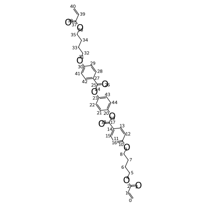 C=CC(=O)OCCCCOC(=C)/C=C\C(=C/C)C(=O)Oc1ccc(OC(=O)c2ccc(OCCCCOC(=O)C=C)cc2)cc1